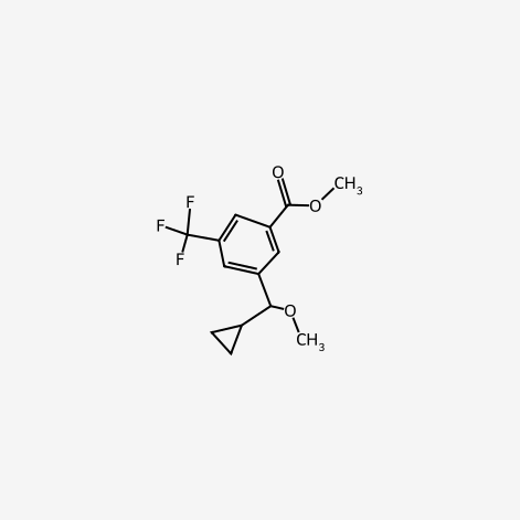 COC(=O)c1cc(C(OC)C2CC2)cc(C(F)(F)F)c1